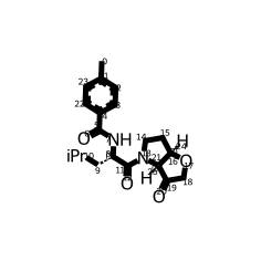 Cc1ccc(C(=O)N[C@@H](CC(C)C)C(=O)N2CC[C@H]3OCC(=O)[C@H]32)cc1